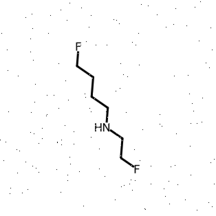 FCCCCNCCF